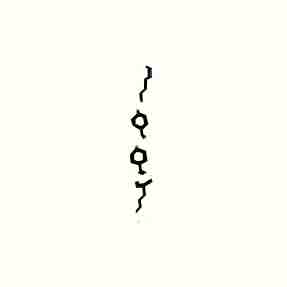 CCC/C=C\CCCCOc1ccc(C(=O)Oc2ccc(-c3ncc(CCCC[C@@H](C)CC)cn3)cc2)cc1